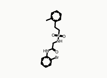 Cc1ccccc1CCS(=O)(=O)NCC(=O)Nc1ccccc1Br